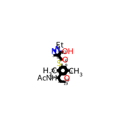 CCn1ncc(C(=O)Sc2cc(C)c3c(c2C)C(NC(C)=O)CCO3)c1O